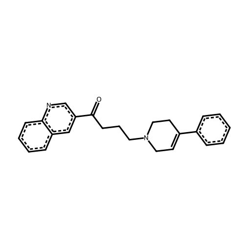 O=C(CCCN1CC=C(c2ccccc2)CC1)c1cnc2ccccc2c1